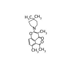 CC(=O)c1c(C)ccc2oc(N3CCC(C)(C)CC3)c(C)c(=O)c12